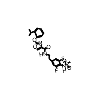 CC(C)c1ccccc1Oc1nc(C(=O)NCCc2cc(F)c(NS(C)(=O)=O)c(F)c2)co1